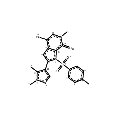 Cc1ccc(S(=O)(=O)n2c(-c3cnn(C)c3C)cc3c(Br)cn(C)c(=O)c32)cc1